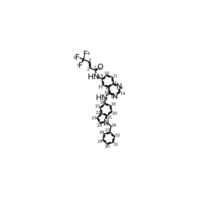 O=C(C=CC(F)(F)F)Nc1ccc2ncnc(Nc3ccc4c(ccn4Cc4ccccc4)c3)c2c1